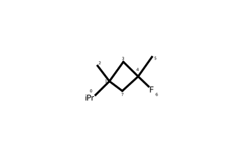 CC(C)C1(C)CC(C)(F)C1